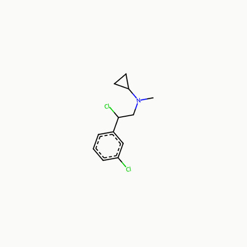 CN(CC(Cl)c1cccc(Cl)c1)C1CC1